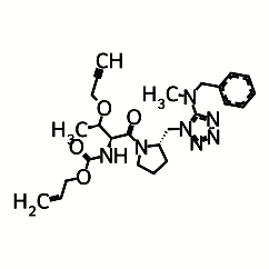 C#CCO[C@H](C)[C@H](NC(=O)OCC=C)C(=O)N1CCC[C@H]1Cn1nnnc1N(C)Cc1ccccc1